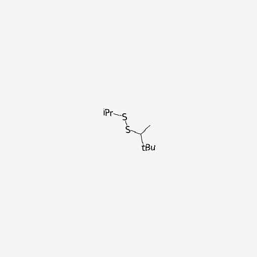 CC(C)SSC(C)C(C)(C)C